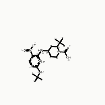 CC(C)(C)Nc1ncc([N+](=O)[O-])c(NC2CCN(C(=O)O)C(C(C)(C)C)C2)n1